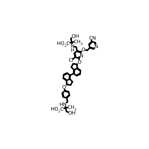 CC(CO)(NCc1ccc(O[C@H]2CCc3c(-c4cccc5c4CC[C@@H]5Oc4nc(OCc5cncc(C#N)c5)c(CNC(C)(CO)C(=O)O)cc4Cl)cccc32)cc1)C(=O)O